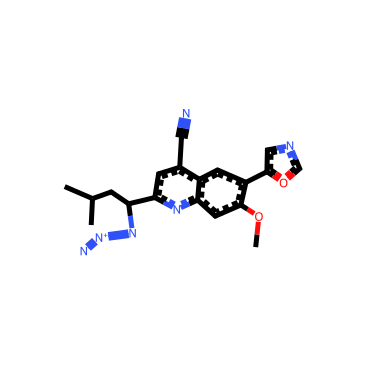 COc1cc2nc(C(CC(C)C)N=[N+]=[N-])cc(C#N)c2cc1-c1cnco1